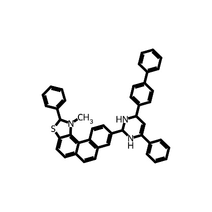 CN1c2c(ccc3ccc4cc(C5NC(c6ccccc6)=CC(c6ccc(-c7ccccc7)cc6)N5)ccc4c23)SC1c1ccccc1